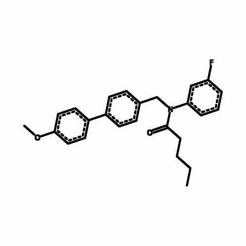 CCCCC(=O)N(Cc1ccc(-c2ccc(OC)cc2)cc1)c1cccc(F)c1